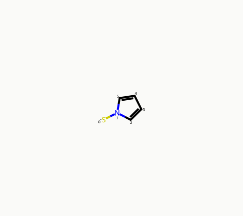 [S]n1cccc1